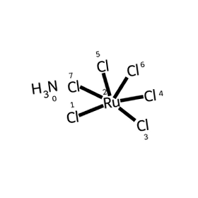 N.[Cl][Ru]([Cl])([Cl])([Cl])([Cl])[Cl]